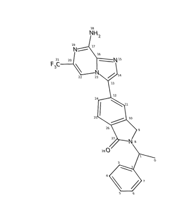 CC(c1ccccc1)N1Cc2cc(-c3cnc4c(N)nc(C(F)(F)F)cn34)ccc2C1=O